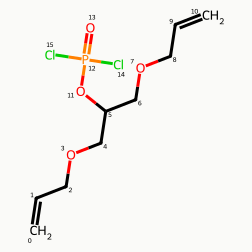 C=CCOCC(COCC=C)OP(=O)(Cl)Cl